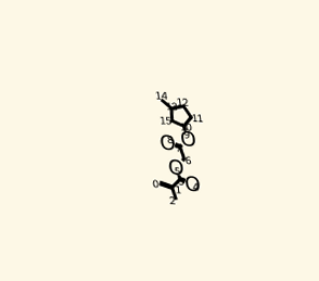 C=C(C)C(=O)OCC(=O)OC1CCC(C)C1